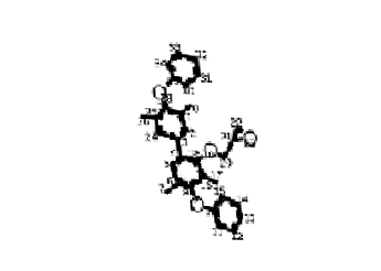 Cc1cc(-c2cc(C)c(Oc3ccccc3)c(C)c2OCC2CO2)cc(C)c1Oc1ccccc1